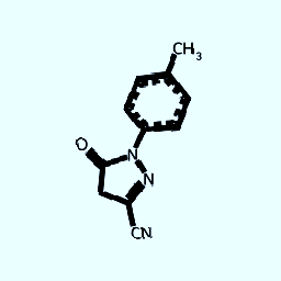 Cc1ccc(N2N=C(C#N)CC2=O)cc1